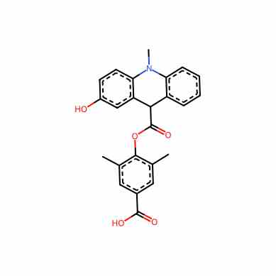 Cc1cc(C(=O)O)cc(C)c1OC(=O)C1c2ccccc2N(C)c2ccc(O)cc21